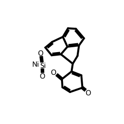 O=C1C=CC(=O)C(C2Cc3cccc4cccc2c34)=C1.O=[Si]=O.[Ni]